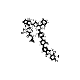 CCC[C@H](NC(=O)[C@@H]1[C@H]2CCC[C@H]2CN1C(=O)[C@@H](NC(=O)[C@@H](NC(=O)c1cnc(C2CCC(c3ccc4c(c3)C(=O)N(C3CCC(=O)NC3=O)C4=O)C(C)C2)cn1)C1CCCCC1)C(C)(C)C)C(=O)C(=O)NC1CC1